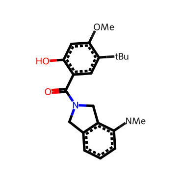 CNc1cccc2c1CN(C(=O)c1cc(C(C)(C)C)c(OC)cc1O)C2